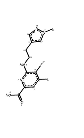 Cc1nc(C(=O)O)nc(NCCc2cnn(C)c2)c1F